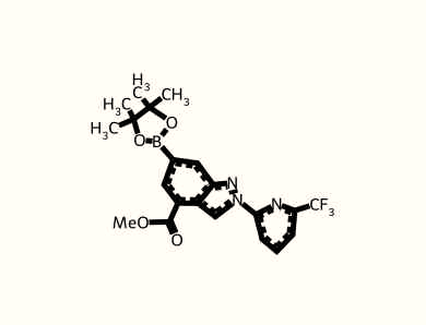 COC(=O)c1cc(B2OC(C)(C)C(C)(C)O2)cc2nn(-c3cccc(C(F)(F)F)n3)cc12